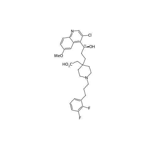 COc1ccc2ncc(Cl)c([C@@H](O)CCC3(CC(=O)O)CCN(CCCc4cccc(F)c4F)CC3)c2c1